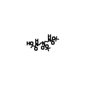 CC(O)C(=O)NCCN(CCNC(=O)OC(C)(C)C)C(=O)OC(C)(C)C